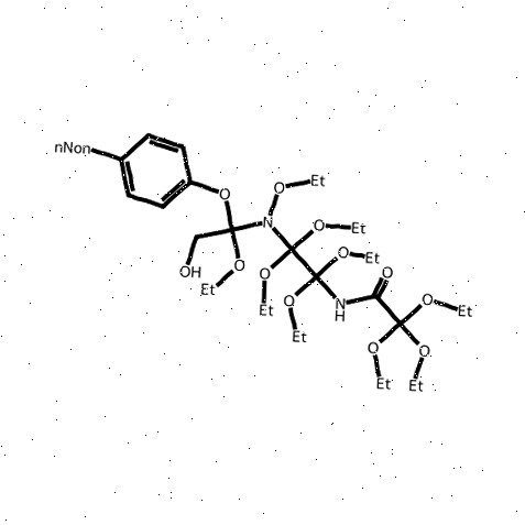 CCCCCCCCCc1ccc(OC(CO)(OCC)N(OCC)C(OCC)(OCC)C(NC(=O)C(OCC)(OCC)OCC)(OCC)OCC)cc1